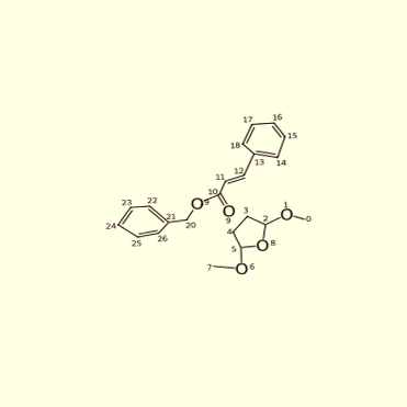 COC1CCC(OC)O1.O=C(C=Cc1ccccc1)OCc1ccccc1